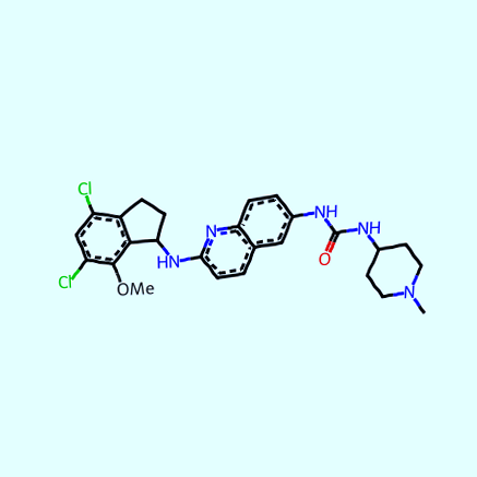 COc1c(Cl)cc(Cl)c2c1C(Nc1ccc3cc(NC(=O)NC4CCN(C)CC4)ccc3n1)CC2